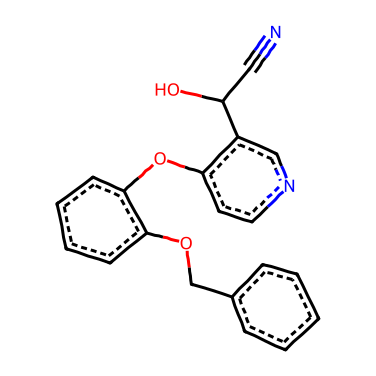 N#CC(O)c1cnccc1Oc1ccccc1OCc1ccccc1